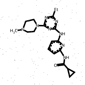 CCc1nc(Nc2cccc(NC(=O)C3CC3)n2)nc(N2CCN(C)CC2)n1